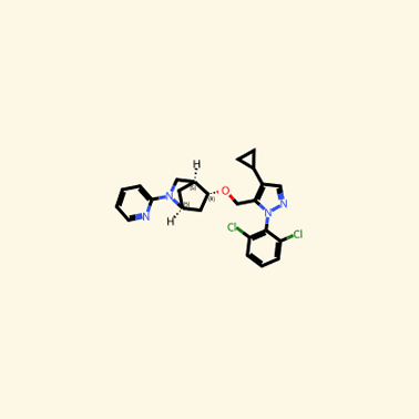 Clc1cccc(Cl)c1-n1ncc(C2CC2)c1CO[C@@H]1C[C@@H]2C[C@H]1CN2c1ccccn1